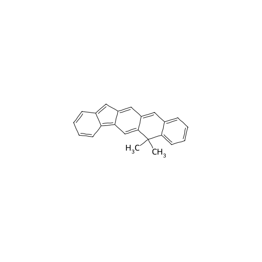 CC1(C)c2ccccc2C=c2cc3c(cc21)=c1ccccc1=C3